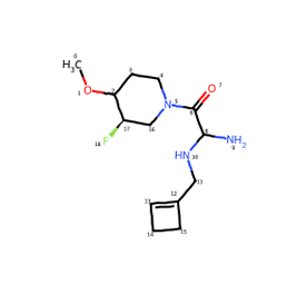 COC1CCN(C(=O)C(N)NCC2=CCC2)C[C@H]1F